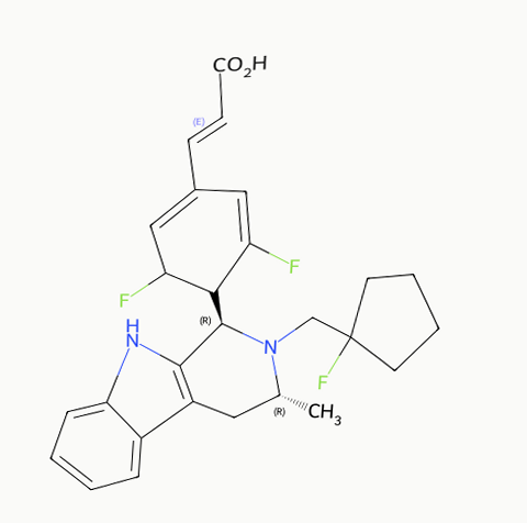 C[C@@H]1Cc2c([nH]c3ccccc23)[C@@H](C2C(F)=CC(/C=C/C(=O)O)=CC2F)N1CC1(F)CCCC1